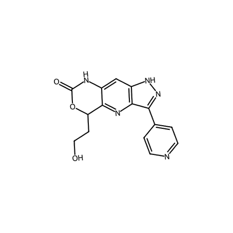 O=C1Nc2cc3[nH]nc(-c4ccncc4)c3nc2C(CCO)O1